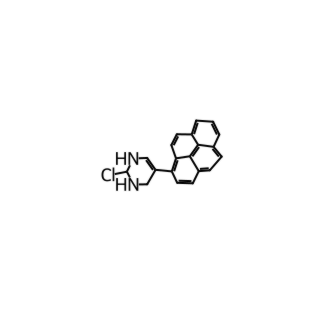 ClC1NC=C(c2ccc3ccc4cccc5ccc2c3c45)CN1